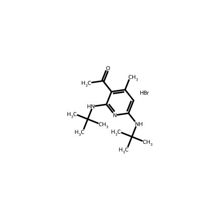 Br.CC(=O)c1c(C)cc(NC(C)(C)C)nc1NC(C)(C)C